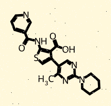 Cc1nc(N2CCCCC2)ncc1-c1csc(NC(=O)c2cccnc2)c1C(=O)O